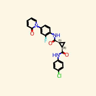 O=C(Nc1ccc(-n2ccccc2=O)cc1F)[C@H]1C[C@H]1C(=O)Nc1ccc(Cl)cc1